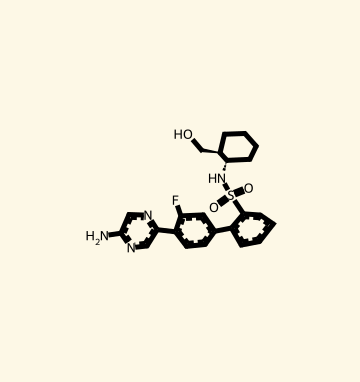 Nc1cnc(-c2ccc(-c3ccccc3S(=O)(=O)N[C@H]3CCCC[C@@H]3CO)cc2F)cn1